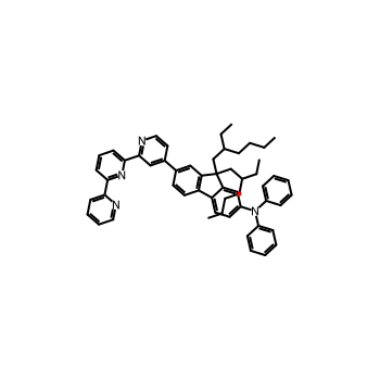 CCCCC(CC)CC1(CC(CC)CCCC)c2cc(-c3ccnc(-c4cccc(-c5ccccn5)n4)c3)ccc2-c2ccc(N(c3ccccc3)c3ccccc3)cc21